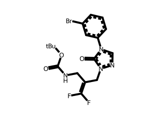 CC(C)(C)OC(=O)NCC(Cn1ncn(-c2cccc(Br)c2)c1=O)=C(F)F